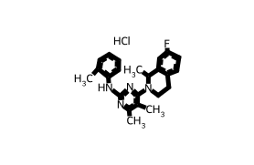 Cc1ccccc1Nc1nc(C)c(C)c(N2CCc3ccc(F)cc3C2C)n1.Cl